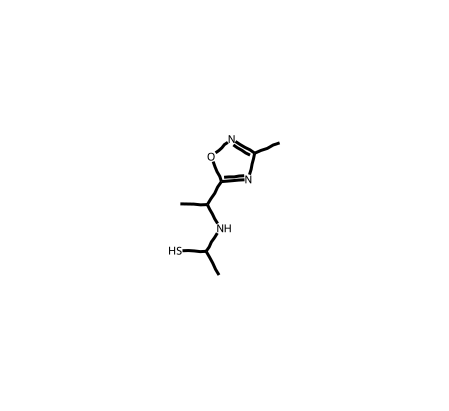 Cc1noc(C(C)NC(C)S)n1